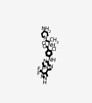 CC(NC(=O)c1ccc(Nc2nccn3c(-c4c[nH]nc4C(F)(F)F)cnc23)cc1Cl)C(=O)N1CCC(N)CC1